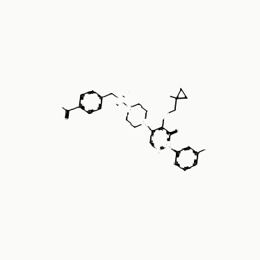 CC1(COc2c(N3CCN(S(=O)(=O)Cc4ccc(C(=O)O)cc4)CC3)cnn(-c3cccc(Cl)c3)c2=O)CC1